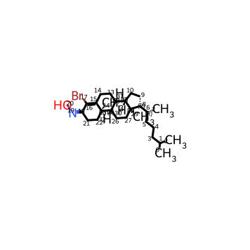 CC(C)CCC[C@@H](C)[C@H]1CC[C@H]2[C@@H]3CCC4=C(Br)C(=NO)CC[C@]4(C)[C@H]3CC[C@]12C